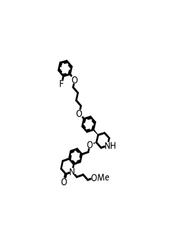 COCCCN1C(=O)CCc2ccc(CO[C@H]3CNCC[C@@H]3c3ccc(OCCCCOc4ccccc4F)cc3)cc21